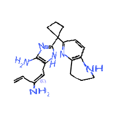 C=C/C(N)=C\c1[nH]c(C2(c3ccc4c(n3)CCCN4)CCC2)nc1N